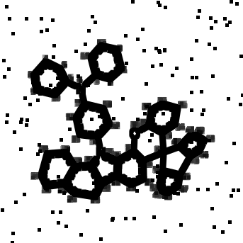 c1ccc(N(c2ccccc2)c2ccc(-n3c4c5c(ccc4c4ccc6ccccc6c43)C3(c4ccccc4O5)c4ccccc4-c4ccccc43)cc2)cc1